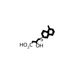 Cc1cccc2cc(SCC(O)CC(=O)O)ccc12